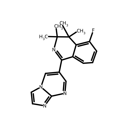 CC1(C)N=C(c2cnc3nccn3c2)c2cccc(F)c2C1(C)C